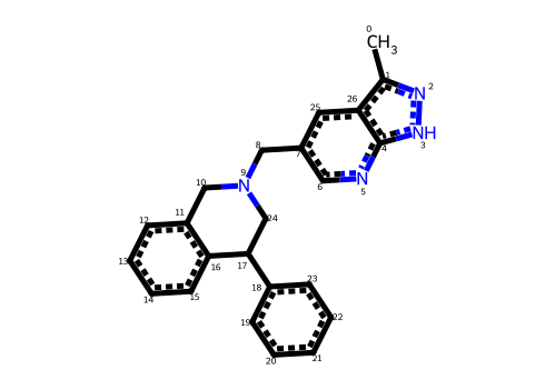 Cc1n[nH]c2ncc(CN3Cc4ccccc4C(c4ccccc4)C3)cc12